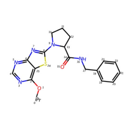 CC(C)Oc1ncnc2nc(N3CCCC3C(=O)NCc3ccccc3)sc12